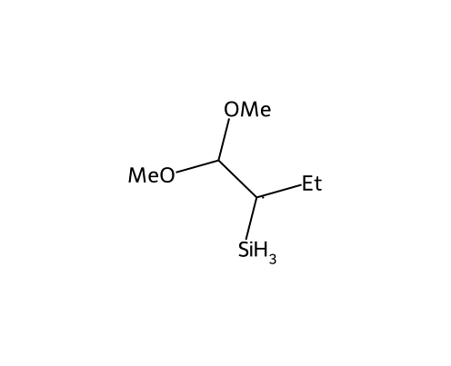 CC[C]([SiH3])C(OC)OC